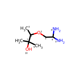 CC(OCC(N)N)C(C)(C)O